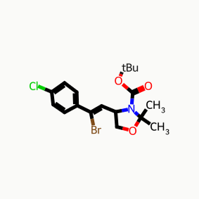 CC(C)(C)OC(=O)N1C(C=C(Br)c2ccc(Cl)cc2)COC1(C)C